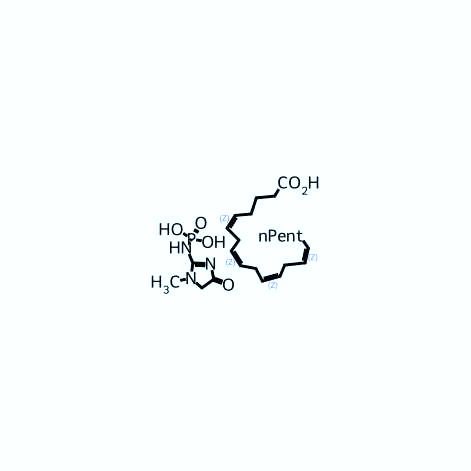 CCCCC/C=C\C/C=C\C/C=C\C/C=C\CCCC(=O)O.CN1CC(=O)N=C1NP(=O)(O)O